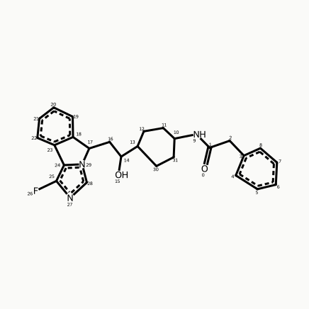 O=C(Cc1ccccc1)NC1CCC(C(O)CC2c3ccccc3-c3c(F)ncn32)CC1